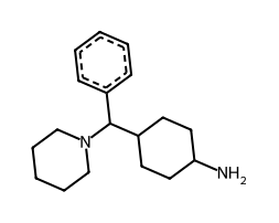 NC1CCC(C(c2ccccc2)N2CCCCC2)CC1